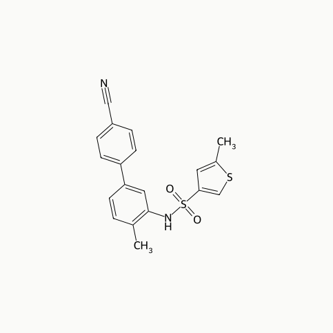 Cc1cc(S(=O)(=O)Nc2cc(-c3ccc(C#N)cc3)ccc2C)cs1